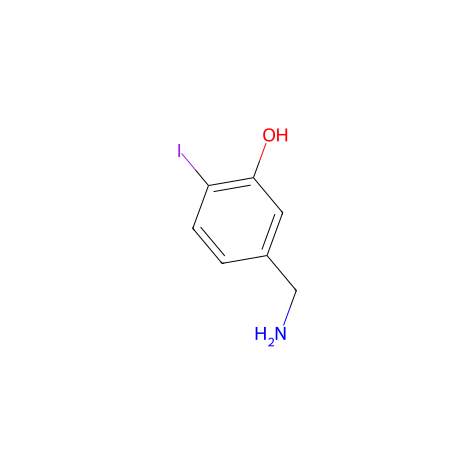 NCc1ccc(I)c(O)c1